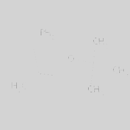 C=C(CP)COC(C)(C)C